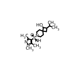 Cc1nn(C)c(C)c1S(=N)(=O)N1CCC2(CC1)CC(C(C)C)C2O